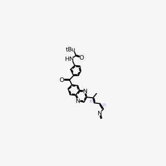 C=N/C=C\C=C(/C)c1cnc2ccc(C(=O)c3cccc(NC(=O)C(C)(C)C)c3)cc2n1